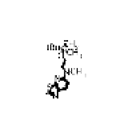 CN(CCO[Si](C)(C)C(C)(C)C)c1ccc2n[c]sc2n1